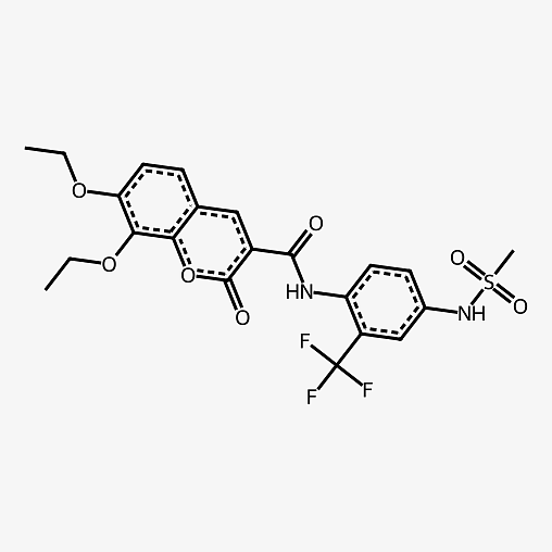 CCOc1ccc2cc(C(=O)Nc3ccc(NS(C)(=O)=O)cc3C(F)(F)F)c(=O)oc2c1OCC